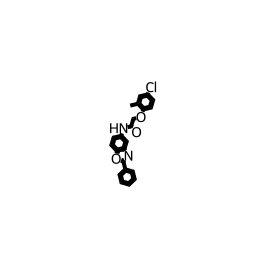 Cc1cc(Cl)ccc1OCC(=O)Nc1ccc2oc(-c3ccccc3)nc2c1